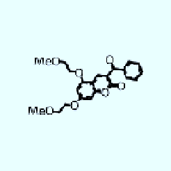 COCCOc1cc(OCCOC)c2cc(C(=O)c3ccccc3)c(=O)oc2c1